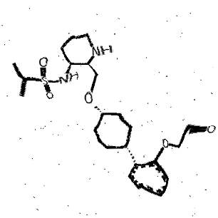 CC(C)S(=O)(=O)N[C@H]1CCCN[C@H]1CO[C@H]1CC[C@@H](c2ccccc2OCC=O)CC1